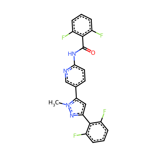 Cn1nc(-c2c(F)cccc2F)cc1-c1ccc(NC(=O)c2c(F)cccc2F)nc1